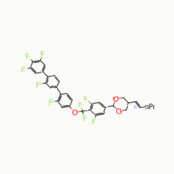 CCC/C=C/C1COC(c2cc(F)c(C(F)(F)Oc3ccc(-c4ccc(-c5cc(F)c(F)c(F)c5)c(F)c4)c(F)c3)c(F)c2)OC1